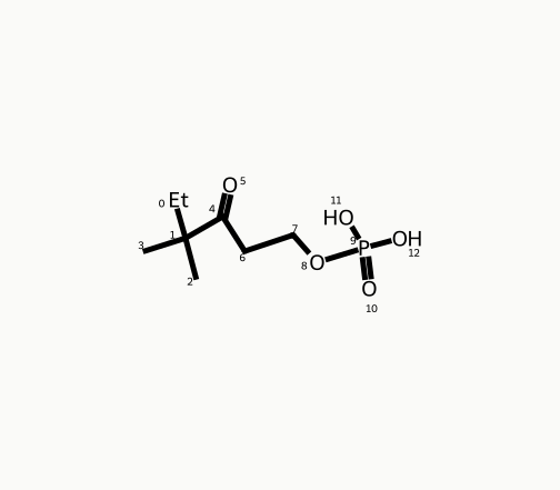 CCC(C)(C)C(=O)CCOP(=O)(O)O